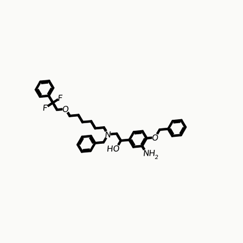 Nc1cc(C(O)CN(CCCCCCOCC(F)(F)c2ccccc2)Cc2ccccc2)ccc1OCc1ccccc1